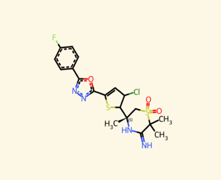 CC1(C)C(=N)N[C@](C)(C2SC(c3nnc(-c4ccc(F)cc4)o3)=CC2Cl)CS1(=O)=O